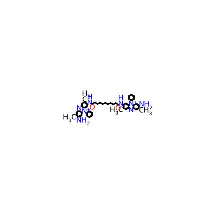 Cc1cc2nc3cc(C)c(NC(=O)CCCCCCCCCC(=O)Nc4cc5c(cc4C)nc4cc(C)c(N)cc4[n+]5-c4ccccc4)cc3[n+](-c3ccccc3)c2cc1N